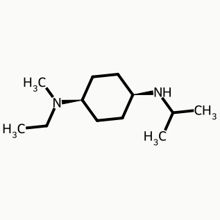 CCN(C)[C@H]1CC[C@@H](NC(C)C)CC1